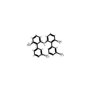 Nc1cccc(-c2c(O)cccc2Oc2cccc(O)c2-c2cccc(N)c2)c1